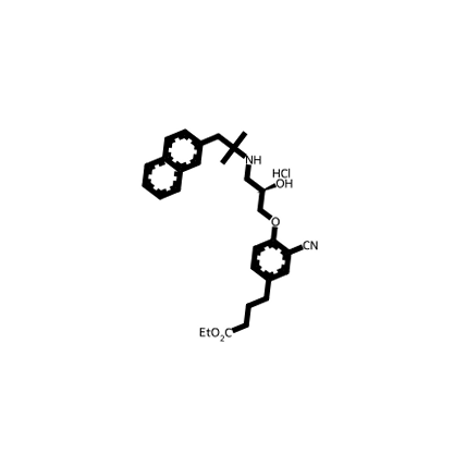 CCOC(=O)CCCc1ccc(OC[C@H](O)CNC(C)(C)Cc2ccc3ccccc3c2)c(C#N)c1.Cl